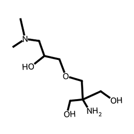 CN(C)CC(O)COCC(N)(CO)CO